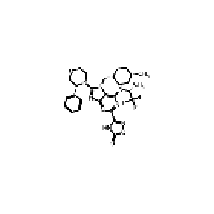 C[C@@H](Nc1nc(-c2noc(=O)[nH]2)nc2nc(N3CCOC[C@H]3c3ccccc3)n(C[C@H]3CC[C@H](C)CC3)c12)C(F)(F)F